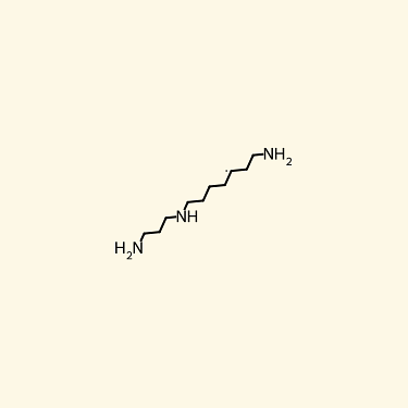 NCC[CH]CCCCNCCCN